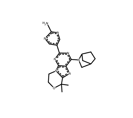 CC1(C)OCCn2c1nc1c(N3CC4CCC3C4)nc(-c3cnc(N)nc3)nc12